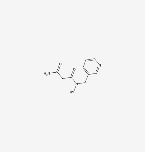 CC(C)N(Cc1cccnc1)C(=O)CC(N)=O